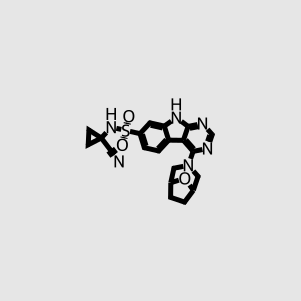 N#CC1(NS(=O)(=O)c2ccc3c(c2)[nH]c2ncnc(N4CC5CCC(C4)O5)c23)CC1